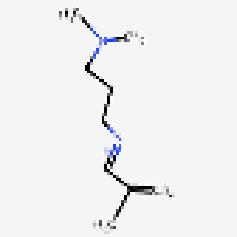 C=C(C)/C=N/CCCN(C)C